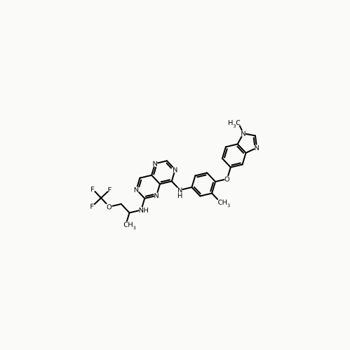 Cc1cc(Nc2ncnc3cnc(NC(C)COC(F)(F)F)nc23)ccc1Oc1ccc2c(c1)ncn2C